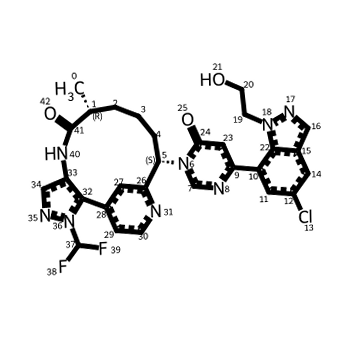 C[C@@H]1CCC[C@H](n2cnc(-c3cc(Cl)cc4cnn(CCO)c34)cc2=O)c2cc(ccn2)-c2c(cnn2C(F)F)NC1=O